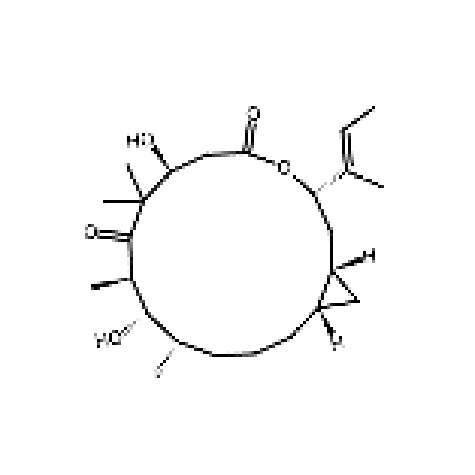 C/C=C(\C)[C@@H]1C[C@@H]2C[C@@H]2CCC[C@H](C)[C@H](O)[C@@H](C)C(=O)C(C)(C)[C@@H](O)CC(=O)O1